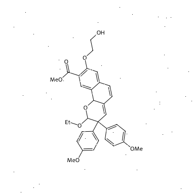 CCOC1OC2C(=CC1(c1ccc(OC)cc1)c1ccc(OC)cc1)C=Cc1cc(OCCO)c(C(=O)OC)cc12